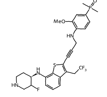 COc1cc(P(C)(C)=O)ccc1NCC#Cc1sc2c(N[C@@H]3CCNCC3F)cccc2c1CC(F)(F)F